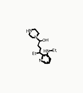 CCNc1cccnc1C(CC)CCC(O)N1CCNCC1